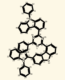 c1ccc(-c2nc(-c3cccc4sc5ccc(-c6nc7ccccc7n6-c6ccccc6)cc5c34)nc(-c3cccc4c3c3ccccc3n4-c3ccccc3)n2)cc1